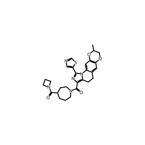 CC1COc2cc3c(cc2O1)-n1c(-c2cncs2)nc(C(=O)N2CCCC(C(=O)N4CCC4)CC2)c1CC3